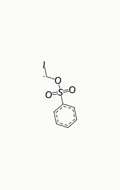 O=S(=O)(O[CH]I)c1ccccc1